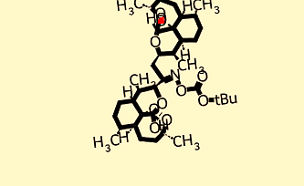 C[C@H]1[C@@H](/C(C[C@H]2O[C@@H]3O[C@]4(C)CC[C@H]5[C@H](C)CC[C@@H]([C@H]2C)[C@@]35OO4)=N\OC(=O)OC(C)(C)C)O[C@@H]2O[C@]3(C)CC[C@H]4[C@H](C)CC[C@@H]1[C@@]24OO3